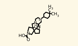 CC1(C)CCC(N2CCN(CC3(O)CCN(C(=O)O)CC34CCCC4)C(=O)C2)CC1